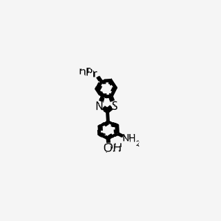 CCCc1ccc2sc(-c3ccc(O)c(N)c3)nc2c1